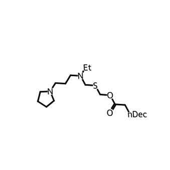 CCCCCCCCCCCC(=O)OCSCN(CC)CCCN1CCCC1